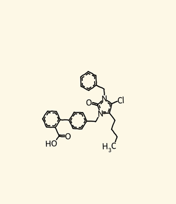 CCCCc1c(Cl)n(Cc2ccccc2)c(=O)n1Cc1ccc(-c2ccccc2C(=O)O)cc1